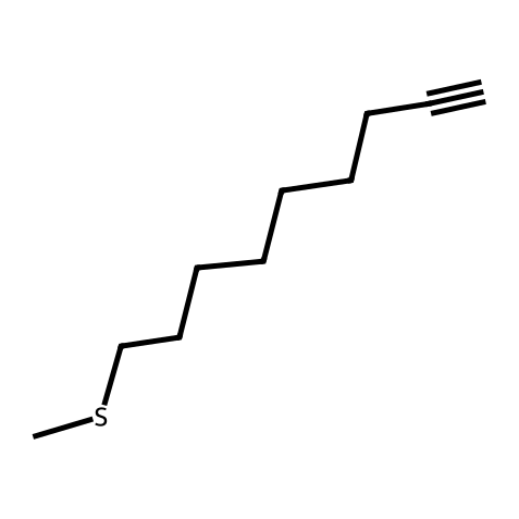 C#CCCCCCCCSC